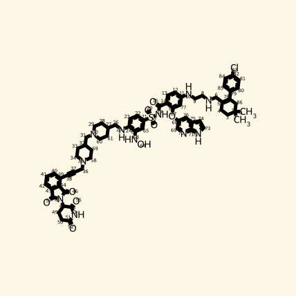 CC1(C)CCC(CNCCNc2ccc(C(=O)NS(=O)(=O)c3ccc(NCC4CCN(CC5CCN(CC#Cc6cccc7c6C(=O)N(C6CCC(=O)NC6=O)C7=O)CC5)CC4)c(NO)c3)c(Oc3cnc4[nH]ccc4c3)c2)=C(c2ccc(Cl)cc2)C1